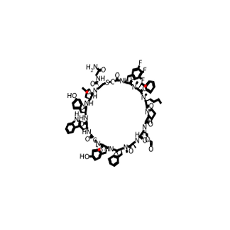 CCCC[C@H]1C(=O)N2CCC[C@@H]2C(=O)N[C@@H](COC=O)C(=O)N[C@@H](C)C(=O)N(C)[C@@H](Cc2ccccc2)C(=O)N[C@@H](Cc2ccc(O)cc2)C(=O)N(C)CC(=O)N[C@@H](Cc2c[nH]c3ccccc23)C(=O)N[C@@H](Cc2ccc(O)cc2)C(=O)N[C@@H](CC(C)C)C(=O)N[C@H](C(=O)NCC(N)=O)CSCC(=O)N[C@@H](Cc2cc(F)c(F)c(F)c2)C(=O)N(C)[C@@H](Cc2ccccc2)C(=O)N1C